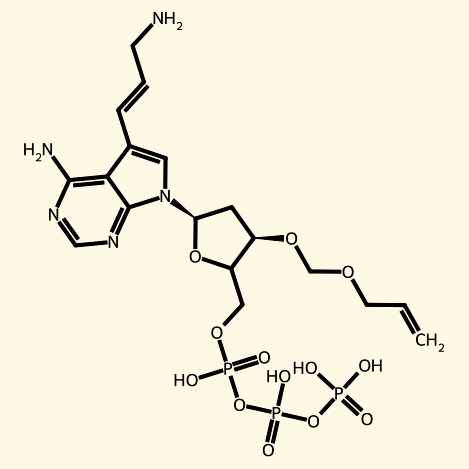 C=CCOCO[C@@H]1C[C@H](n2cc(/C=C/CN)c3c(N)ncnc32)OC1COP(=O)(O)OP(=O)(O)OP(=O)(O)O